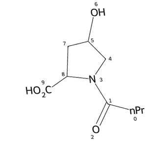 CCCC(=O)N1CC(O)CC1C(=O)O